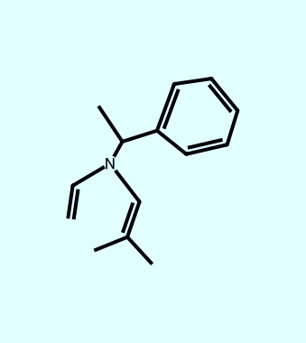 C=CN(C=C(C)C)C(C)c1ccccc1